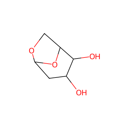 OC1CC2OCC(O2)C1O